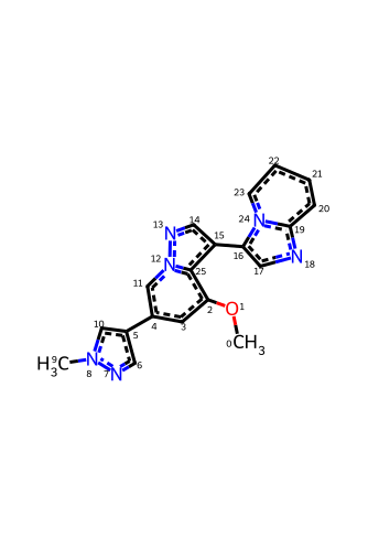 COc1cc(-c2cnn(C)c2)cn2ncc(-c3cnc4ccccn34)c12